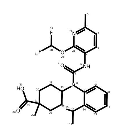 Cc1ccc(NC(=O)N(c2ccccc2C(C)C)C2CCC(C)(C(=O)O)CC2)c(OC(F)F)n1